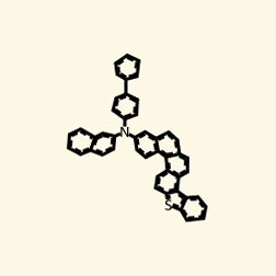 c1ccc(-c2ccc(N(c3ccc4ccccc4c3)c3ccc4c(ccc5ccc6c(ccc7sc8ccccc8c76)c54)c3)cc2)cc1